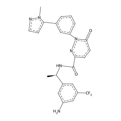 C[C@@H](NC(=O)c1ccc(=O)n(-c2cccc(-c3ccnn3C)c2)n1)c1cc(N)cc(C(F)(F)F)c1